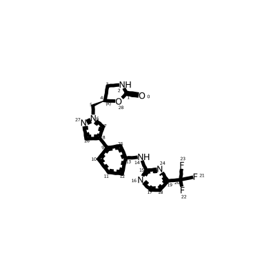 O=C1NC[C@H](Cn2cc(-c3cccc(Nc4nccc(C(F)(F)F)n4)c3)cn2)O1